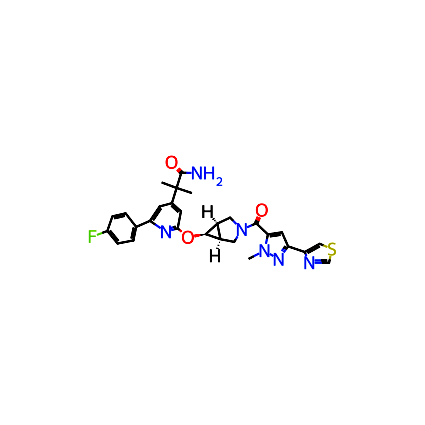 Cn1nc(-c2cscn2)cc1C(=O)N1C[C@@H]2[C@H](C1)[C@@H]2Oc1cc(C(C)(C)C(N)=O)cc(-c2ccc(F)cc2)n1